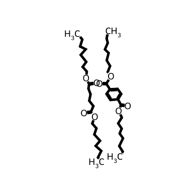 CCCCCCCCOC(=O)CCCCC(=O)OCCCCCCCC.CCCCCCCCOC(=O)c1ccc(C(=O)OCCCCCCCC)cc1